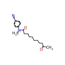 CC(=O)CCCCCCCCC(=O)N(C)c1ccc(C#N)cc1